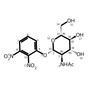 CC(=O)N[C@H]1[C@H](Oc2cccc([N+](=O)[O-])c2[N+](=O)[O-])O[C@H](CO)[C@@H](O)[C@@H]1O